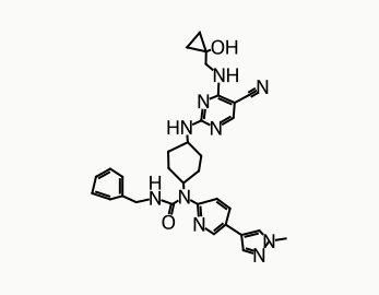 Cn1cc(-c2ccc(N(C(=O)NCc3ccccc3)C3CCC(Nc4ncc(C#N)c(NCC5(O)CC5)n4)CC3)nc2)cn1